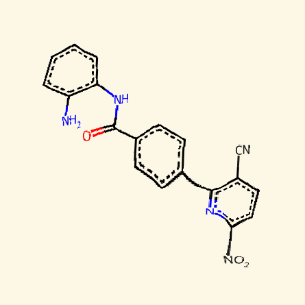 N#Cc1ccc([N+](=O)[O-])nc1-c1ccc(C(=O)Nc2ccccc2N)cc1